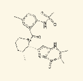 Cc1ccc(NS(C)(=O)=O)c(C(=O)N2CCC[C@@H](C)[C@H]2c2cc3[nH]c(C)c(C)c(=O)n3n2)c1